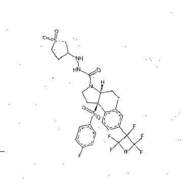 O=C(NNC1CCS(=O)(=O)C1)N1CC[C@@]2(S(=O)(=O)c3ccc(F)cc3)c3ccc(C(F)(C(F)(F)F)C(F)(F)F)cc3CC[C@@H]12